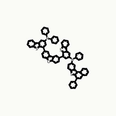 c1ccc(-c2cc3ccccc3c3c2sc2ccc(N(c4ccccc4)c4cc(-c5ccc6oc7ccc(-c8cc(N(c9ccccc9)c9ccccc9)cc9c8sc8ccccc89)cc7c6c5)c5sc6ccccc6c5c4)cc23)cc1